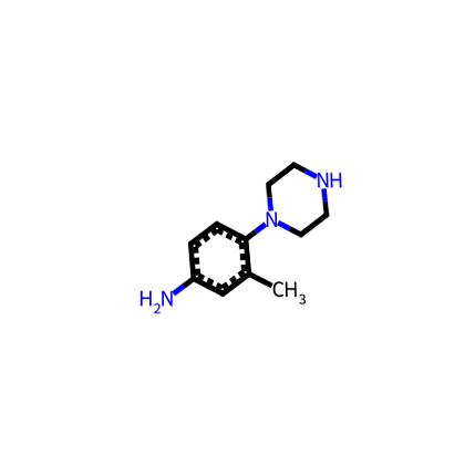 Cc1cc(N)ccc1N1CCNCC1